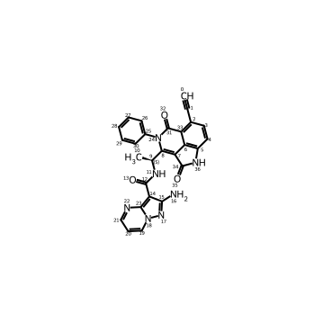 C#Cc1ccc2c3c(c([C@H](C)NC(=O)c4c(N)nn5cccnc45)n(-c4ccccc4)c(=O)c13)C(=O)N2